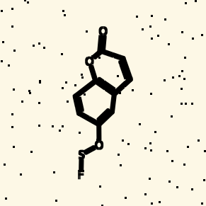 O=c1ccc2cc(OSF)ccc2o1